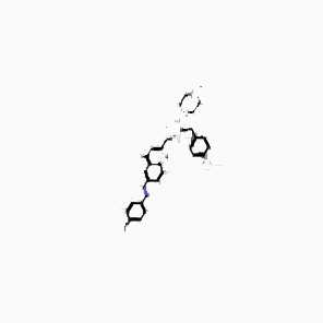 CN1CCN(C[C@H](Cc2ccc(O)cc2)NC(=O)c2cc(C(=O)O)c3cc(/C=C/c4ccc(Cl)cc4)ccc3n2)CC1